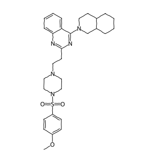 COc1ccc(S(=O)(=O)N2CCN(CCc3nc(N4CCC5CCCCC5C4)c4ccccc4n3)CC2)cc1